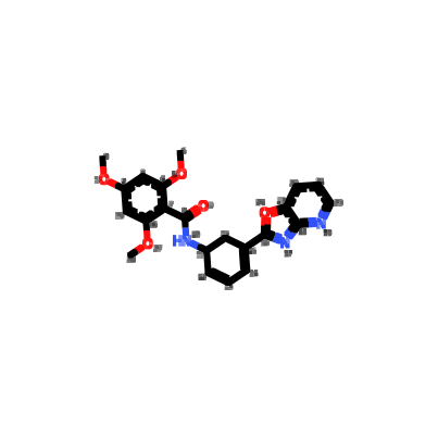 COc1cc(OC)c(C(=O)NC2C=CC=C(c3nc4ncccc4o3)C2)c(OC)c1